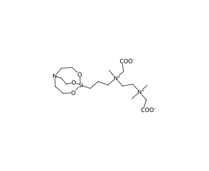 C[N+](C)(CC[N+](C)(CCC[Si]12OCCN(CCO1)CCO2)CC(=O)[O-])CC(=O)[O-]